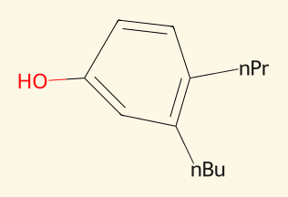 CCCCc1cc(O)ccc1CCC